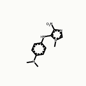 CN(C)c1ccc(Nc2c([N+](=O)[O-])ncn2C)cc1